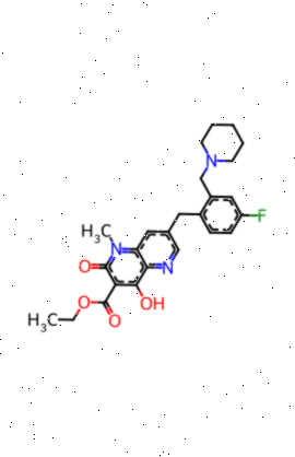 CCOC(=O)c1c(O)c2ncc(Cc3ccc(F)cc3CN3CCCCC3)cc2n(C)c1=O